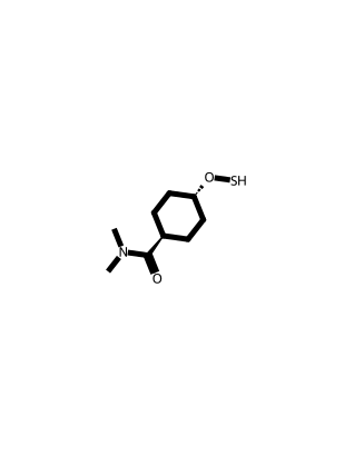 CN(C)C(=O)[C@H]1CC[C@H](OS)CC1